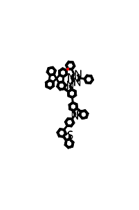 c1ccc(-c2nc(-c3ccccc3)nc(-n3c4ccc(-c5ccc6c(c5)c5ccccc5n6-c5ccc(-c6cccc7c6sc6ccccc67)cc5)cc4c4ccc5c(c43)-c3ccccc3C53c4ccccc4-c4ccccc43)n2)cc1